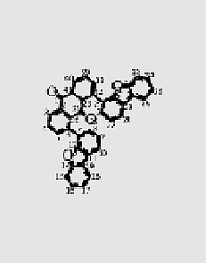 O=C1c2cccc(-c3cccc4c3oc3ccccc34)c2C(=O)C2C(c3cccc4c3oc3ccccc34)=CC=CC12